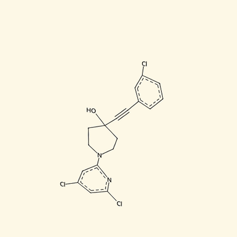 OC1(C#Cc2cccc(Cl)c2)CCN(c2cc(Cl)cc(Cl)n2)CC1